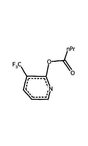 CCCC(=O)Oc1ncccc1C(F)(F)F